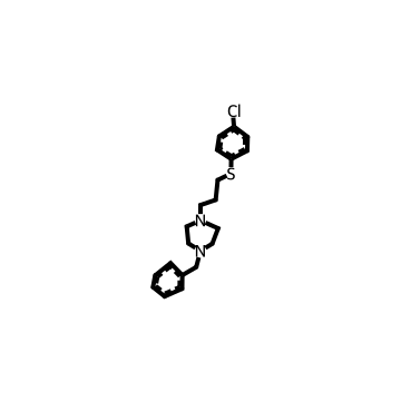 Clc1ccc(SCCCN2CCN(Cc3ccccc3)CC2)cc1